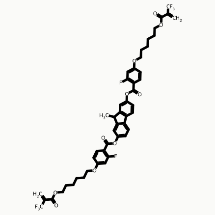 C=C(C(=O)OCCCCCCOc1ccc(C(=O)Oc2ccc3c(c2)C(C)c2cc(OC(=O)c4ccc(OCCCCCCOC(=O)C(=C)C(F)(F)F)cc4F)ccc2-3)c(F)c1)C(F)(F)F